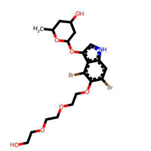 CC1CC(O)CC(Oc2c[nH]c3cc(Br)c(OCCOCCOCCO)c(Br)c23)O1